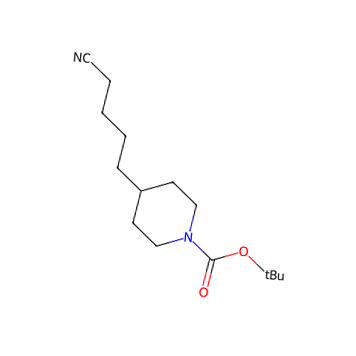 CC(C)(C)OC(=O)N1CCC(CCCCC#N)CC1